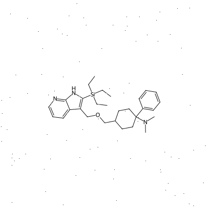 CC[Si](CC)(CC)c1[nH]c2ncccc2c1COCC1CCC(c2ccccc2)(N(C)C)CC1